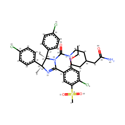 CCOc1cc(Cl)c(S(C)(=O)=O)cc1C1=N[C@@](C)(c2ccc(Cl)cc2)[C@@](C)(c2ccc(Cl)cc2)N1C(=O)N1CCC(CC(N)=O)CC1